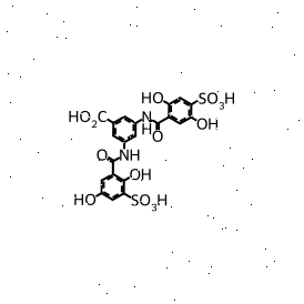 O=C(O)c1cc(NC(=O)c2cc(O)c(S(=O)(=O)O)cc2O)cc(NC(=O)c2cc(O)cc(S(=O)(=O)O)c2O)c1